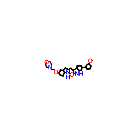 COc1cccc(-c2ccc3c(c2)NC(=O)C3=Cc2cc3cc(OCCN4CCOCC4)ccc3[nH]2)c1